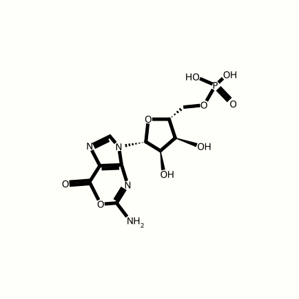 Nc1nc2c(ncn2[C@@H]2O[C@H](COP(=O)(O)O)[C@@H](O)[C@H]2O)c(=O)o1